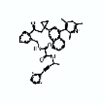 CC1=[N+]=C(C)C(c2cc(C3(CC(=O)c4ccccc4CNC(=O)C(=O)N[C@@H](C)C#Cc4nccs4)CC3)cc3ccccc23)=C(C)C1